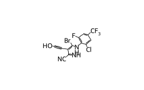 N#CC(=N)/C(C#CO)=C(/Br)Nc1c(F)cc(C(F)(F)F)cc1Cl